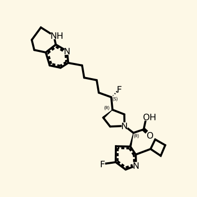 O=C(O)[C@@H](c1cc(F)cnc1C1CCC1)N1CC[C@@H]([C@@H](F)CCCCc2ccc3c(n2)NCCC3)C1